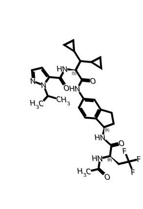 CC(=O)N[C@H](CC(F)(F)F)C(=O)N[C@@H]1CCc2cc(NC(=O)[C@@H](NC(=O)c3ccnn3C(C)C)C(C3CC3)C3CC3)ccc21